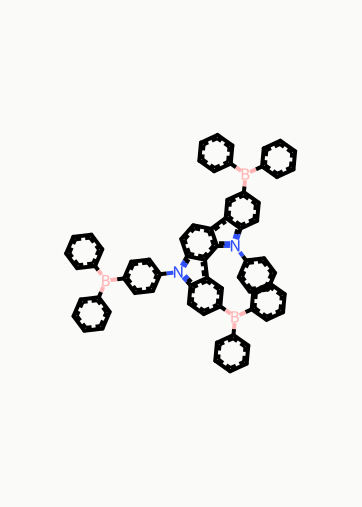 c1ccc(B(c2ccccc2)c2ccc(-n3c4ccc(B(c5ccccc5)c5ccccc5)cc4c4c3ccc3c5cc(B(c6ccccc6)c6ccccc6)ccc5n(-c5ccccc5)c34)cc2)cc1